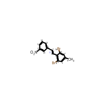 Cc1cc(Br)c(/C=C/c2cccc([N+](=O)[O-])c2)c(Br)c1